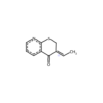 C/C=C1\CSc2ncccc2C1=O